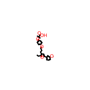 CCc1oc(-c2cccc(OC)c2)cc1CCCOc1ccc(OC(C)(C)C(=O)O)cc1